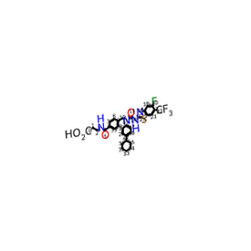 O=C(O)CCNC(=O)c1ccc(CN(C(=O)Nc2nc3cc(F)c(C(F)(F)F)cc3s2)c2ccc(C3CCCCC3)cc2)cc1